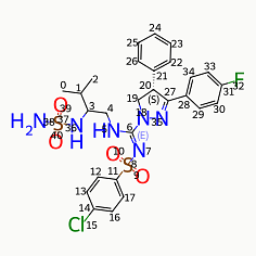 CC(C)C(CN/C(=N\S(=O)(=O)c1ccc(Cl)cc1)N1C[C@H](c2ccccc2)C(c2ccc(F)cc2)=N1)NS(N)(=O)=O